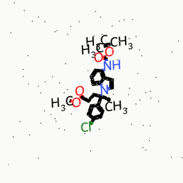 CCC(CCC(=O)OC)(c1ccc(Cl)cc1)n1ccc2c(NC(=O)OC(C)(C)C)cccc21